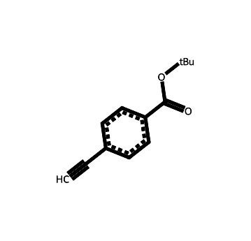 C#Cc1ccc(C(=O)OC(C)(C)C)cc1